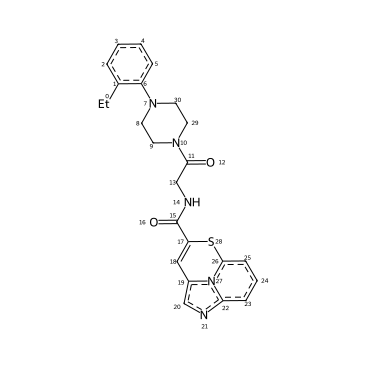 CCc1ccccc1N1CCN(C(=O)CNC(=O)C2=Cc3cnc4cccc(n34)S2)CC1